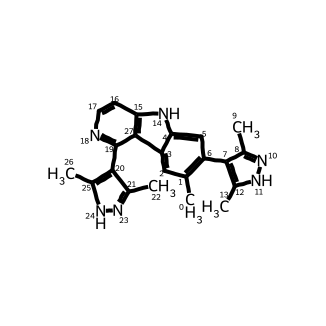 Cc1cc2c(cc1-c1c(C)n[nH]c1C)[nH]c1ccnc(-c3c(C)n[nH]c3C)c12